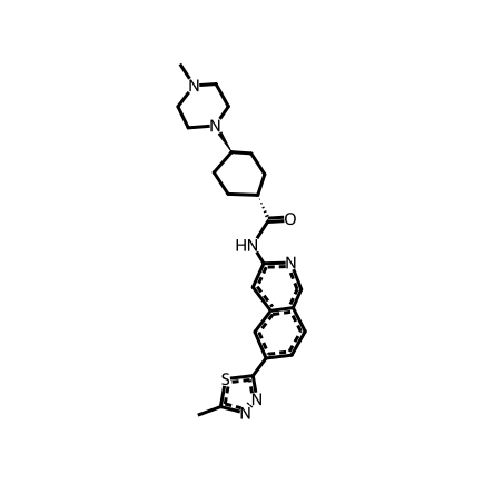 Cc1nnc(-c2ccc3cnc(NC(=O)[C@H]4CC[C@H](N5CCN(C)CC5)CC4)cc3c2)s1